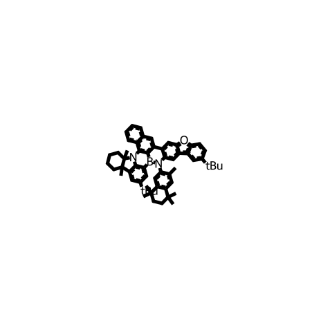 Cc1cc2c(cc1N1B3c4cc(C(C)(C)C)cc5c4N(c4c3c(cc3ccccc43)-c3cc4oc6ccc(C(C)(C)C)cc6c4cc31)C1(C)CCCCC51C)C(C)(C)CCC2(C)C